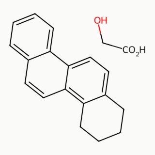 O=C(O)CO.c1ccc2c(c1)ccc1c3c(ccc12)CCCC3